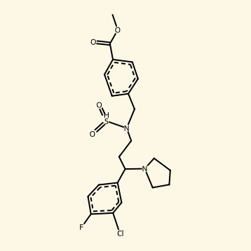 COC(=O)c1ccc(CN(CCC(c2ccc(F)c(Cl)c2)N2CCCC2)[SH](=O)=O)cc1